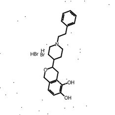 Br.Br.Oc1ccc2c(c1O)CC(C1CCN(CCc3ccccc3)CC1)OC2